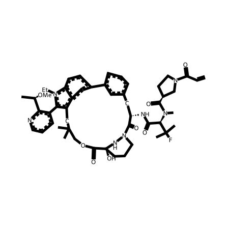 C=CC(=O)N1CC[C@H](C(=O)N(C)[C@H](C(=O)N[C@H]2Cc3cccc(c3)-c3ccc4c(c3)c(c(-c3cccnc3[C@H](C)OC)n4CC)CC(C)(C)COC(=O)[C@@]3(O)CCCN(N3)C2=O)C(C)(C)F)C1